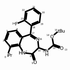 CC(C)c1cccc2c1NC(=O)C(NC(=O)OC(C)(C)C)N=C2c1ccccc1F